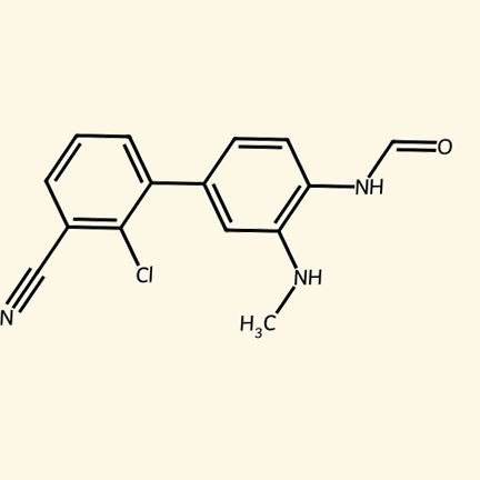 CNc1cc(-c2cccc(C#N)c2Cl)ccc1NC=O